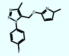 Cc1nnn(-c2ccc(F)cc2)c1COC1=NC(C)C=C1